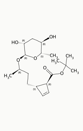 C[C@H](CC[C@H]1C=C[C@@H]1C(=O)OC(C)(C)C)O[C@@H]1O[C@@H](C)[C@H](O)C[C@H]1O